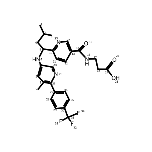 Cc1cc(NC(CC(C)C)c2ccc(C(=O)NCCC(=O)O)cn2)cnc1-c1ccc(C(F)(F)F)cc1